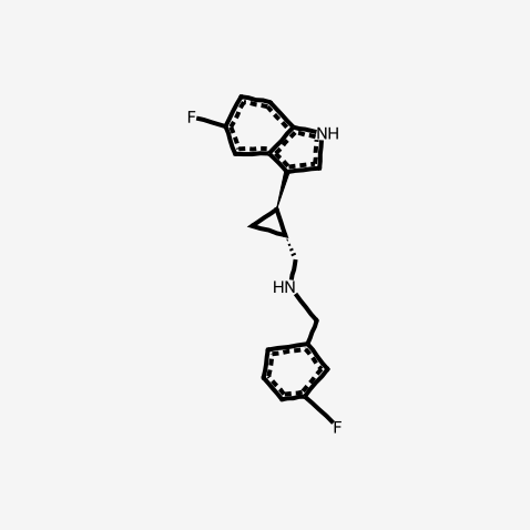 Fc1cccc(CNC[C@@H]2C[C@H]2c2c[nH]c3ccc(F)cc23)c1